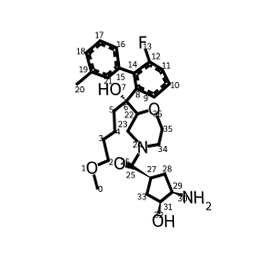 COCCCC[C@@](O)(c1cccc(F)c1-c1cccc(C)c1)C1CN(C(=O)[C@H]2C[C@@H](N)[C@@H](O)C2)CCO1